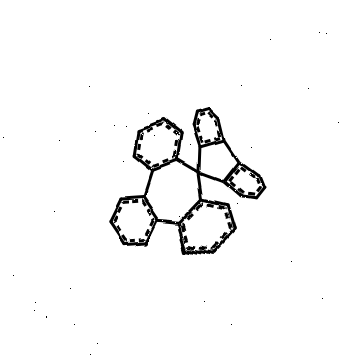 c1ccc2c(c1)-c1ccccc1C1(c3ccccc3-2)c2ccccc2-c2ccccc21